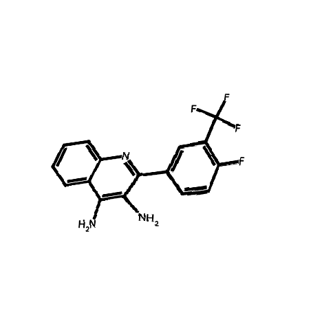 Nc1c(-c2ccc(F)c(C(F)(F)F)c2)nc2ccccc2c1N